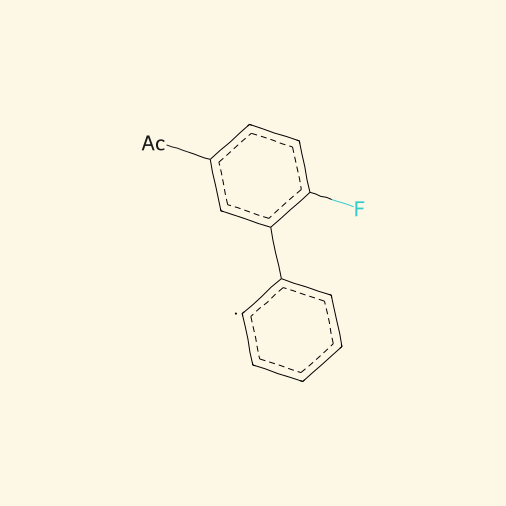 CC(=O)c1ccc(F)c(-c2[c]cccc2)c1